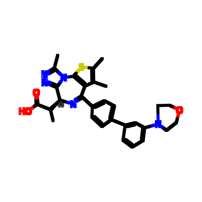 Cc1sc2c(c1C)C(c1ccc(-c3cccc(N4CCOCC4)c3)cc1)=N[C@@H](C(C)C(=O)O)c1nnc(C)n1-2